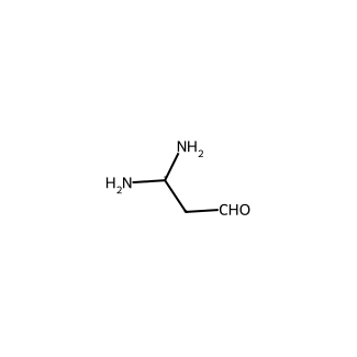 N[C](N)CC=O